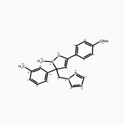 COc1ccc(C2=CC(Cn3cncn3)(c3cccc(C)c3)N(C)O2)cc1